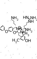 Cc1cc(O)cc(C)c1CC(NC(=O)C(N)CCCNC(=N)N)C(=O)N[C@@H](CCCCN)c1ccc(Oc2ccccc2)cc1